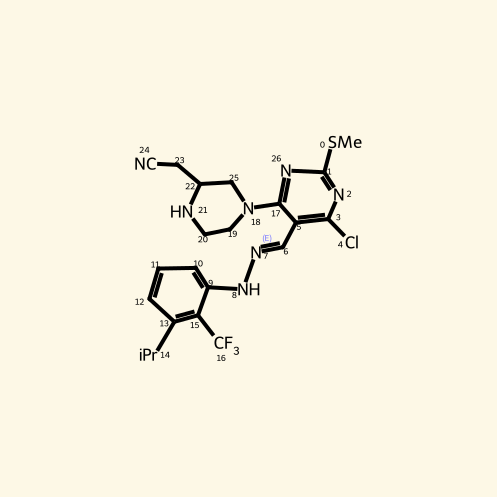 CSc1nc(Cl)c(/C=N/Nc2cccc(C(C)C)c2C(F)(F)F)c(N2CCNC(CC#N)C2)n1